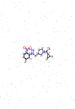 Cc1ccc([N+](=O)[O-])c(NCC2CCN(C(=O)C3CC3)C2)c1